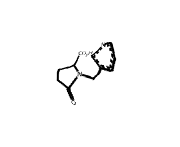 O=C(O)C1CCC(=O)N1Cc1cccnc1